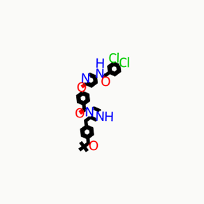 CC(C)(C)C(=O)c1ccc(CC2CNCCN2C(=O)c2ccc(Oc3ccc(NC(=O)c4ccc(Cl)c(Cl)c4)cn3)cc2)cc1